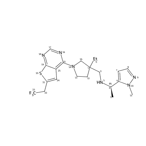 CCC1(CN[C@H](C)c2ccnn2C)CCN(c2ncnc3sc(CC(F)(F)F)cc23)C1